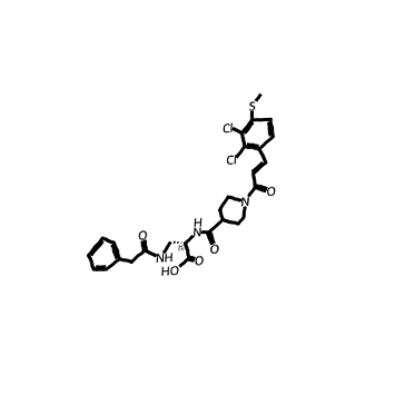 CSc1ccc(C=CC(=O)N2CCC(C(=O)N[C@@H](CNC(=O)Cc3ccccc3)C(=O)O)CC2)c(Cl)c1Cl